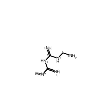 CNC(=N)NC(=N)NCN